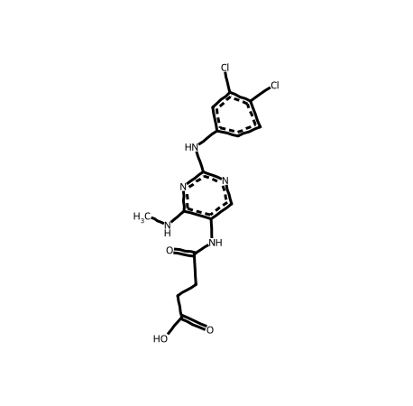 CNc1nc(Nc2ccc(Cl)c(Cl)c2)ncc1NC(=O)CCC(=O)O